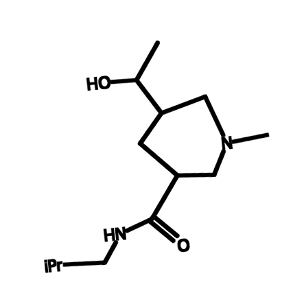 CC(C)CNC(=O)C1CC(C(C)O)CN(C)C1